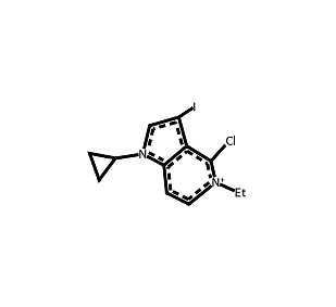 CC[n+]1ccc2c(c(I)cn2C2CC2)c1Cl